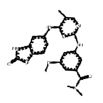 COc1cc(Nc2ncc(C)c(Nc3ccc4oc(=O)[nH]c4c3)n2)cc(C(=O)N(C)C)c1